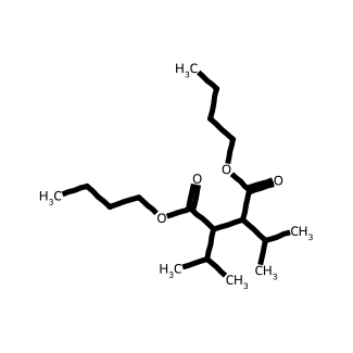 CCCCOC(=O)C(C(C)C)C(C(=O)OCCCC)C(C)C